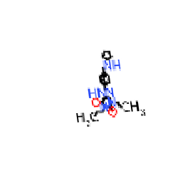 CCCn1c(=O)c2[nH]c(C34CCC(CNC5CCCC5)(CC3)CC4)nc2n(CCC)c1=O